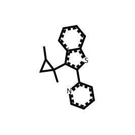 CC1CC1(C)c1c(-c2ccccn2)sc2ccccc12